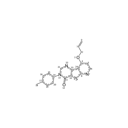 C=CCOc1ccnc2sc3c(=O)n(-c4ccc(C)cc4)cnc3c12